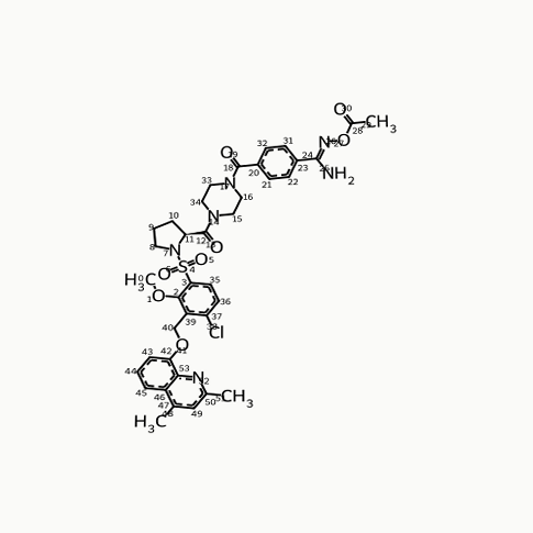 COc1c(S(=O)(=O)N2CCC[C@H]2C(=O)N2CCN(C(=O)c3ccc(C(N)=NOC(C)=O)cc3)CC2)ccc(Cl)c1COc1cccc2c(C)cc(C)nc12